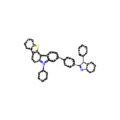 c1ccc(C2C(c3ccc(-c4ccc5c6c7sc8ccccc8c7ccc6n(-c6ccccc6)c5c4)cc3)=Nc3ccccc32)cc1